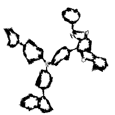 c1ccc(-c2ccc(N(c3ccc(-c4cccc5ccccc45)cc3)c3ccc(-c4c5nc(-c6ccccc6)oc5cc5c4oc4ccccc45)cc3)cc2)cc1